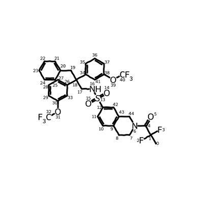 CC(F)(F)C(=O)N1CCc2ccc(S(=O)(=O)NCC(Cc3ccccc3)(c3cccc(OC(F)(F)F)c3)c3cccc(OC(F)(F)F)c3)cc2C1